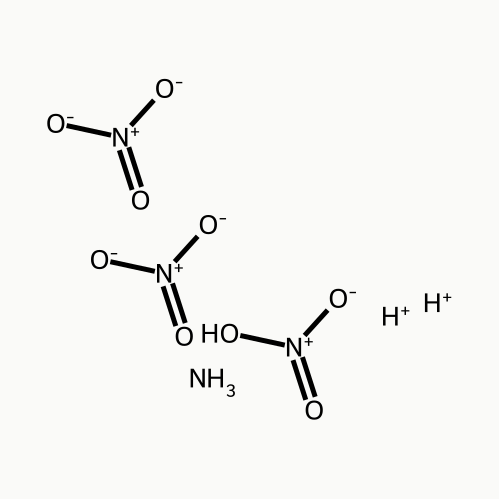 N.O=[N+]([O-])O.O=[N+]([O-])[O-].O=[N+]([O-])[O-].[H+].[H+]